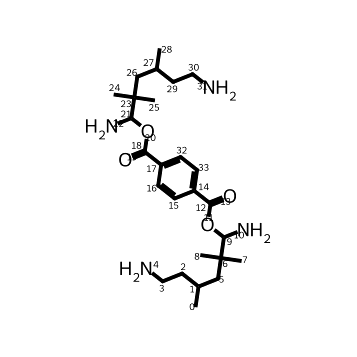 CC(CCN)CC(C)(C)C(N)OC(=O)c1ccc(C(=O)OC(N)C(C)(C)CC(C)CCN)cc1